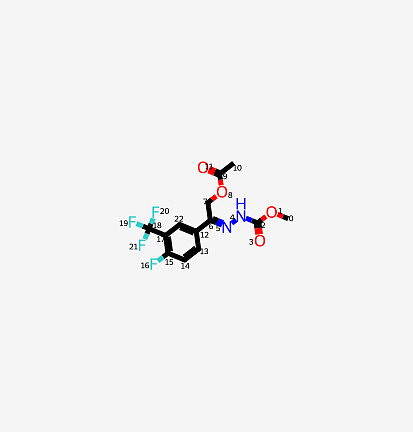 COC(=O)N/N=C(\COC(C)=O)c1ccc(F)c(C(F)(F)F)c1